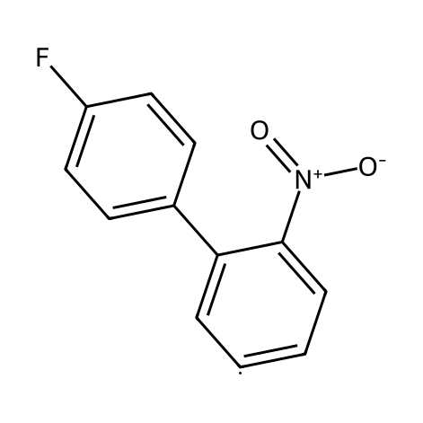 O=[N+]([O-])c1cc[c]cc1-c1ccc(F)cc1